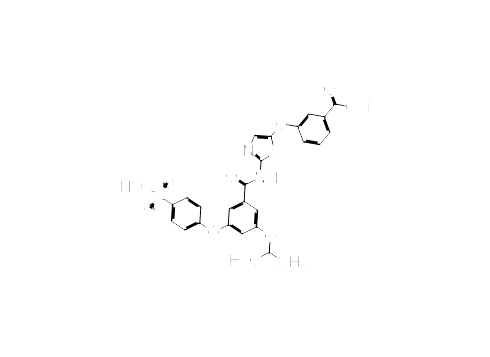 CC(C)Oc1cc(Oc2ccc(S(C)(=O)=O)cc2)cc(C(=O)Nc2ncc(Oc3cccc(C(=O)O)c3)s2)c1